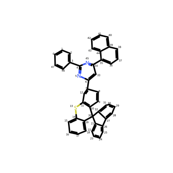 c1ccc(-c2nc(-c3ccc4c(c3)Sc3ccccc3C43c4ccccc4-c4ccccc43)cc(-c3cccc4ccccc34)n2)cc1